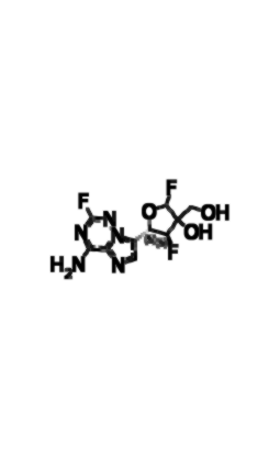 Nc1nc(F)nn2c([C@@H]3OC(F)C(O)(CO)[C@H]3F)cnc12